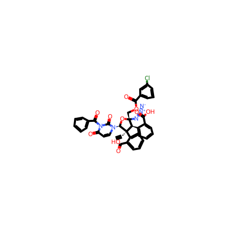 C#C[C@]1(c2ccccc2C(=O)O)[C@H](n2ccc(=O)n(C(=O)c3ccccc3)c2=O)O[C@](COC(=O)c2cccc(Cl)c2)(N=[N+]=[N-])[C@H]1c1ccccc1C(=O)O